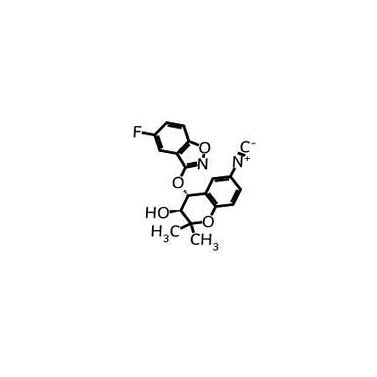 [C-]#[N+]c1ccc2c(c1)[C@@H](Oc1noc3ccc(F)cc13)[C@H](O)C(C)(C)O2